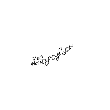 COc1cc2nccc(Oc3ccc(S(=O)(=O)CCOc4ccc(Cl)cc4Cl)cc3)c2cc1OC